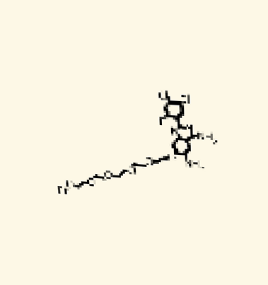 CCOCCOCCOCCOCCOCCOc1cc2nc(-c3cc(Cl)c(Cl)cc3F)nc(N)c2cc1N